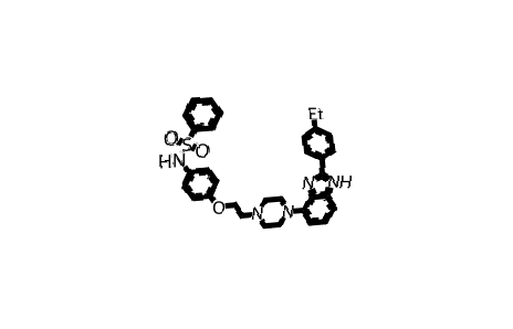 CCc1ccc(-c2nc3c(N4CCN(CCOc5ccc(NS(=O)(=O)c6ccccc6)cc5)CC4)cccc3[nH]2)cc1